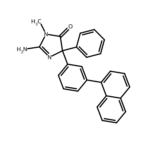 CN1C(=O)C(c2ccccc2)(c2cccc(-c3cccc4ccccc34)c2)N=C1N